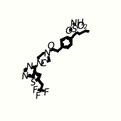 CCCC(c1ccc(CC(=O)N2CCN(c3ncnc4sc(CC(F)(F)F)cc34)CC2)cc1)S(N)(=O)=O